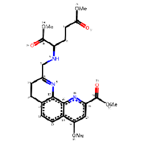 COC(=O)CCC(NCC1=Nc2c(ccc3c(OC)cc(C(=O)OC)nc23)CC1)C(=O)OC